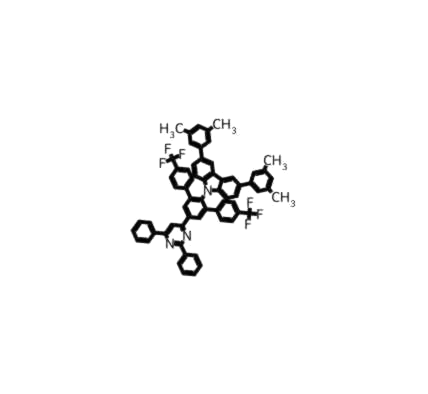 Cc1cc(C)cc(-c2ccc3c(c2)c2cc(-c4cc(C)cc(C)c4)ccc2n3-c2c(-c3ccc(C(F)(F)F)cc3)cc(-c3cc(-c4ccccc4)nc(-c4ccccc4)n3)cc2-c2ccc(C(F)(F)F)cc2)c1